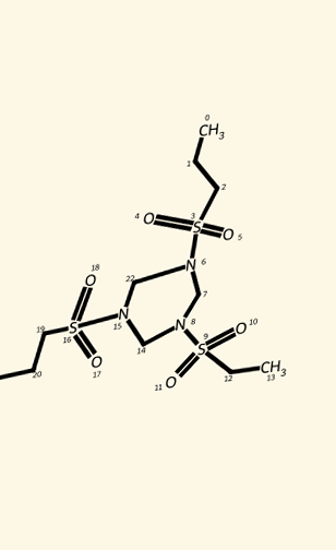 CCCS(=O)(=O)N1CN(S(=O)(=O)CC)CN(S(=O)(=O)CCC)C1